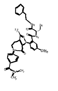 COc1ccc(-n2nc(C(F)(F)F)c3c2C(=O)N(c2ccc(C(=O)N(C)C)cc2)CC3)c(C(=O)N[C@@H](CO)C(=O)NCCc2ccccc2)c1